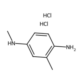 CNc1ccc(N)c(C)c1.Cl.Cl